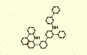 c1ccc(-c2cccc(Nc3ccc(-c4cccc(-c5ccccc5Nc5ccccc5-c5ccccc5)c4)cc3-c3ccccc3)c2)cc1